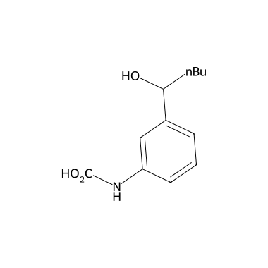 CCCCC(O)c1cccc(NC(=O)O)c1